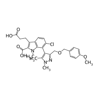 COc1ccc(COCc2nn(C)c(C)c2-c2c(Cl)ccc3c(CCC(=O)O)c(C(=O)O)n(C)c23)cc1